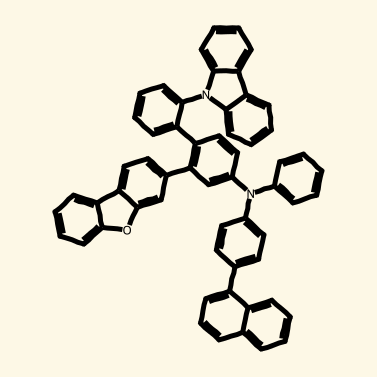 c1ccc(N(c2ccc(-c3cccc4ccccc34)cc2)c2ccc(-c3ccccc3-n3c4ccccc4c4ccccc43)c(-c3ccc4c(c3)oc3ccccc34)c2)cc1